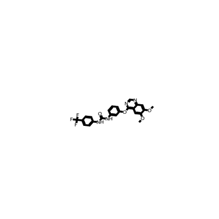 COc1cc2ncnc(Oc3cccc(NC(=O)Nc4ccc(C(F)(F)F)cc4)c3)c2cc1OC